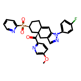 COc1ccc(C(=O)[C@]23Cc4cnn(-c5ccc(F)cc5)c4C=C2CC[C@H](S(=O)(=O)c2ccccn2)C3)nc1